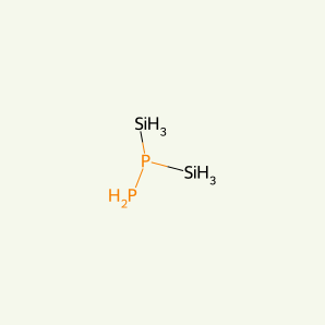 [SiH3]P([SiH3])P